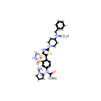 COC(=O)N(c1ccc(-c2cnc(N3CCC(N(Cc4ccccc4)C(=O)O)CC3)s2)c(S(=O)(=O)NC(C)(C)C)c1)[C@@H]1CCCN1C